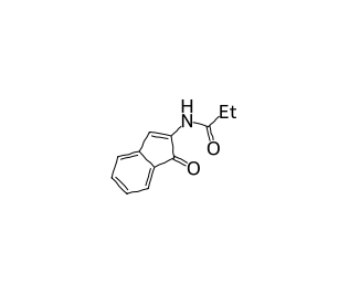 CCC(=O)NC1=Cc2ccccc2C1=O